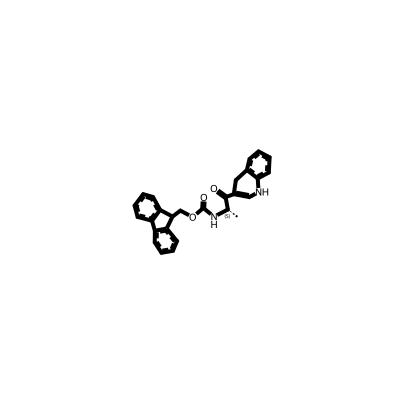 C[C@H](NC(=O)OCC1c2ccccc2-c2ccccc21)C(=O)C1=[C]Nc2ccccc2C1